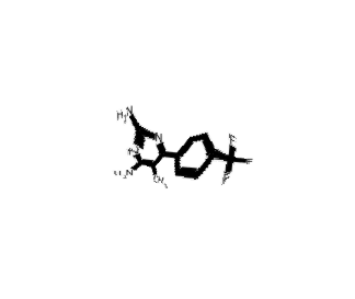 Cc1c(N)nc(N)nc1-c1ccc(C(F)(F)F)cc1